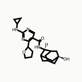 O=C(N[C@H]1C2CC3CC1C[C@@](O)(C3)C2)c1cnc(NC2CC2)nc1C1CCCO1